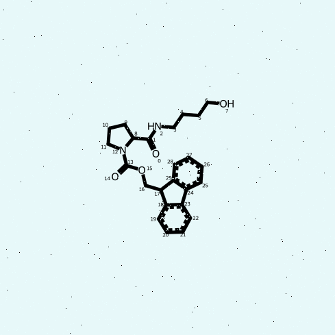 O=C(NCCCCO)C1CCCN1C(=O)OCC1c2ccccc2-c2ccccc21